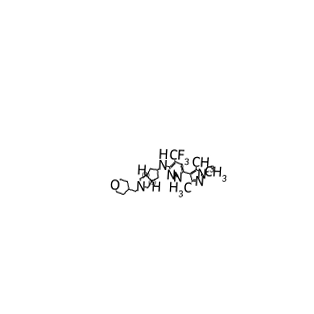 Cc1nn(C)c(C)c1-c1cc(C(F)(F)F)c(NC2C[C@@H]3CN(CC4CCOCC4)C[C@@H]3C2)nn1